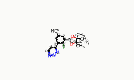 CC1(C)OB(c2cc(C#N)cc(-c3ccnnn3)c2F)OC1(C)C